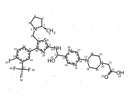 C[C@@H]1CCCN1Cc1sc(NC(O)c2cnc(N3CCN(CC(=O)O)CC3)cn2)nc1-c1ccc(F)c(C(F)(F)F)c1